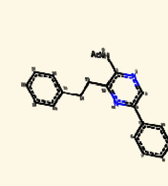 CC(=O)Nc1ncc(-c2ccccc2)nc1CCc1ccccc1